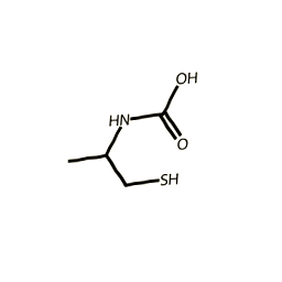 CC(CS)NC(=O)O